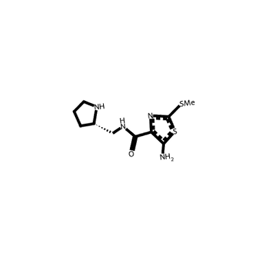 CSc1nc(C(=O)NC[C@@H]2CCCN2)c(N)s1